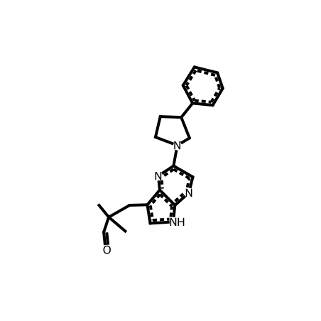 CC(C)(C=O)Cc1c[nH]c2ncc(N3CCC(c4ccccc4)C3)nc12